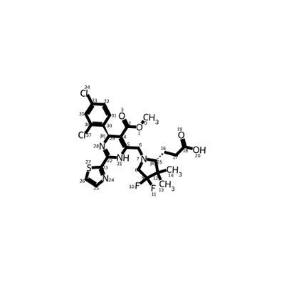 COC(=O)C1=C(CN2CC(F)(F)C(C)(C)[C@H]2CCC(=O)O)NC(c2nccs2)=N[C@H]1c1ccc(Cl)cc1Cl